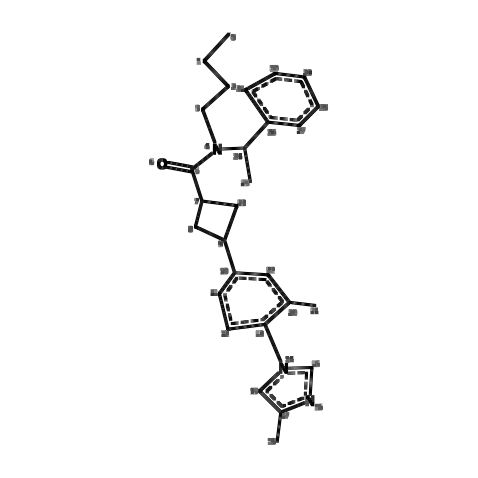 CCCCN(C(=O)C1CC(c2ccc(-n3cnc(C)c3)c(C)c2)C1)C(C)c1ccccc1